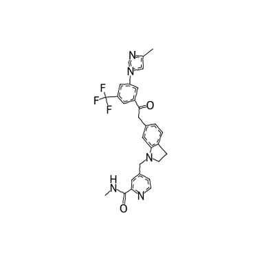 CNC(=O)c1cc(CN2CCc3ccc(CC(=O)c4cc(-n5cnc(C)c5)cc(C(F)(F)F)c4)cc32)ccn1